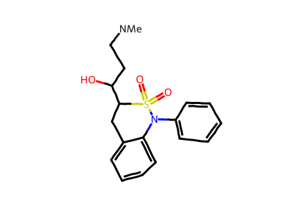 CNCCC(O)C1Cc2ccccc2N(c2ccccc2)S1(=O)=O